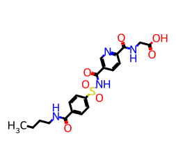 CCCCNC(=O)c1ccc(S(=O)(=O)NC(=O)c2ccc(C(=O)NCC(=O)O)nc2)cc1